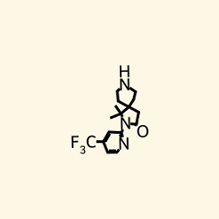 CC1(C)N(c2cc(C(F)(F)F)ccn2)C(=O)CC12CCNCC2